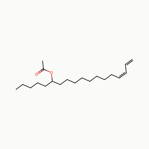 C=C/C=C\CCCCCCCCC(CCCCC)OC(C)=O